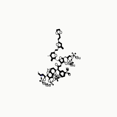 C=C1C[C@H](CCC2OCCO2)O[C@H]1CC[C@H]1C[C@@H](C)C(=C)[C@@H](C[C@@H]2O[C@H](C[C@@H](CO[Si](C)(C)C(C)(C)C)O[Si](C)(C)C(C)(C)C)[C@H](OC)[C@H]2CC(=O)C(c2cccc([SH](=O)=O)c2)[C@H]2CC[C@@H]3O[C@@H](C(/C=C/I)O[Si](C)(C)C(C)(C)C)C(O[Si](C)(C)C(C)(C)C)C(O[Si](C)(C)C(C)(C)C)[C@H]3O2)O1